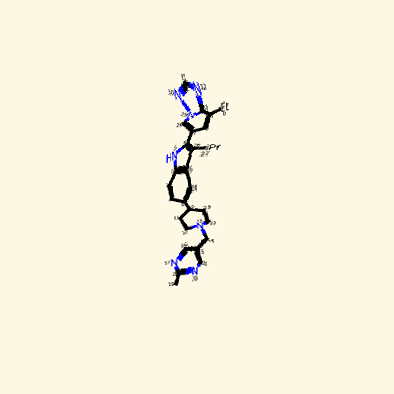 CCc1cc(-c2[nH]c3ccc(C4CCN(Cc5cnc(C)nc5)CC4)cc3c2C(C)C)cn2ncnc12